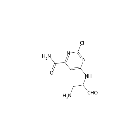 NCC(C=O)Nc1cc(C(N)=O)nc(Cl)n1